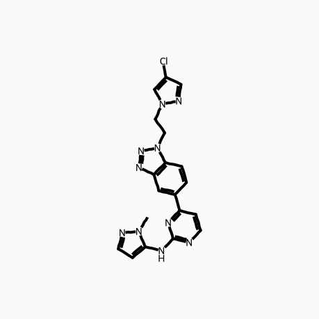 Cn1nccc1Nc1nccc(-c2ccc3c(c2)nnn3CCn2cc(Cl)cn2)n1